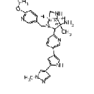 COc1ccc(CN2C(c3ccc(-c4c[nH]c(-c5cnn(C)c5)c4)cn3)[C@@](C)(N)[C@@H]3NC[C@@H]32)cn1